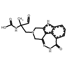 CC(C=O)(CN1CC2=NNC(=O)c3cccc4[nH]c(c2c34)C1)NC(=O)O